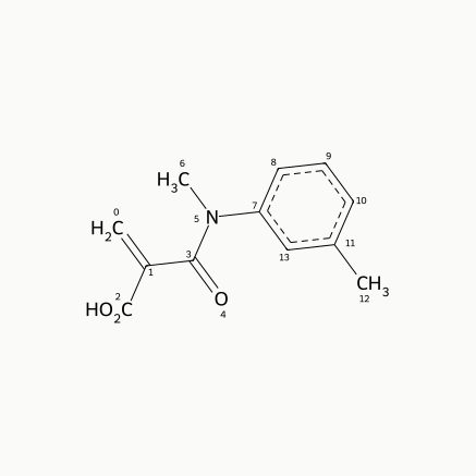 C=C(C(=O)O)C(=O)N(C)c1cccc(C)c1